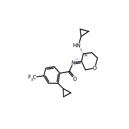 O=C(/N=C1\COCC[C@H]1NC1CC1)c1ccc(C(F)(F)F)cc1C1CC1